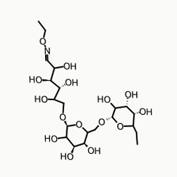 CCO/N=C/C(O)[C@H](O)[C@H](O)C(O)CO[C@H]1OC(CO[C@H]2OC(CC)[C@@H](O)[C@@H](O)C2O)[C@@H](O)[C@@H](O)C1O